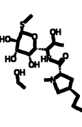 CCC[C@@H]1C[C@@H](C(=O)NC(C(C)O)[C@H]2O[C@H](SC)[C@H](O)[C@@H](O)[C@H]2O)N(C)C1.CCO